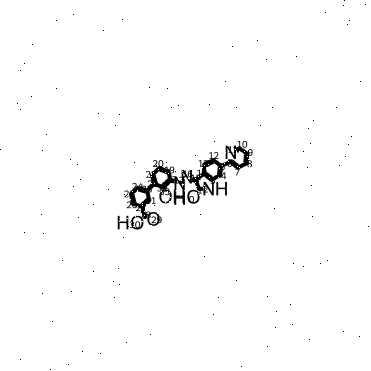 O=C1Nc2cc(-c3ccccn3)ccc2C1=NNc1cccc(-c2cccc(C(=O)O)c2)c1O